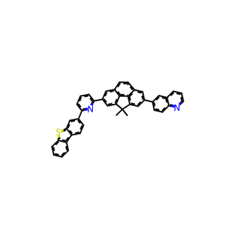 CC1(C)c2cc(-c3ccc4ncccc4c3)cc3ccc4cc(-c5cccc(-c6ccc7c(c6)sc6ccccc67)n5)cc1c4c23